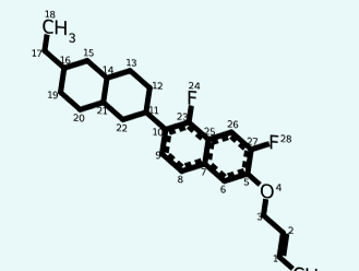 CC=CCOc1cc2ccc(C3CCC4CC(CC)CCC4C3)c(F)c2cc1F